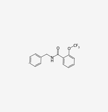 O=C(NCc1cc[c]cc1)c1ccccc1OC(F)(F)F